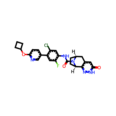 O=C(Nc1cc(Cl)c(-c2ccc(OC3CCC3)nc2)cc1F)N1[C@H]2CC[C@@H]1c1n[nH]c(=O)cc1C2